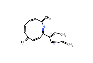 C=C/C=C\C(=C/C)c1ccc(=C)ccccc(=C)n1